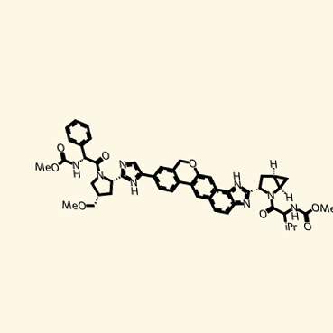 COC[C@H]1C[C@@H](c2ncc(-c3ccc4c(c3)COc3cc5c(ccc6nc([C@@H]7C[C@H]8C[C@H]8N7C(=O)C(NC(=O)OC)C(C)C)[nH]c65)cc3-4)[nH]2)N(C(=O)[C@H](NC(=O)OC)c2ccccc2)C1